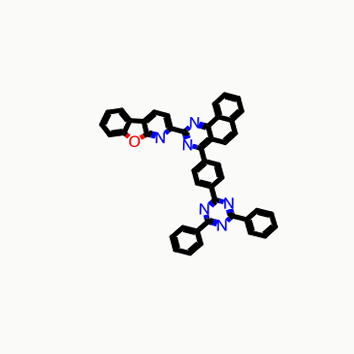 c1ccc(-c2nc(-c3ccccc3)nc(-c3ccc(-c4nc(-c5ccc6c(n5)oc5ccccc56)nc5c4ccc4ccccc45)cc3)n2)cc1